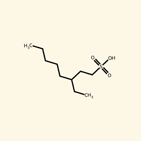 CCCCCC(CC)CCS(=O)(=O)O